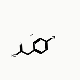 O=C(O)Cc1ccc(O)cc1.[Zn]